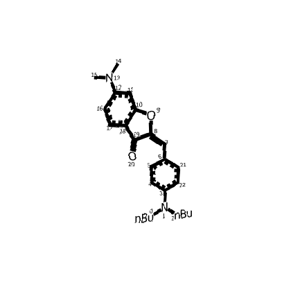 CCCCN(CCCC)c1ccc(/C=C2/Oc3cc(N(C)C)ccc3C2=O)cc1